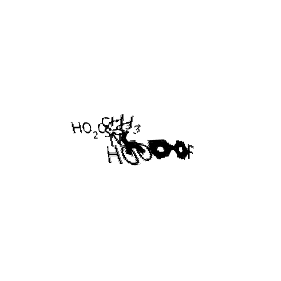 CC(C)(SC1=NC(C(O)COc2ccc(-c3ccc(F)cc3)cc2)CS1)C(=O)O